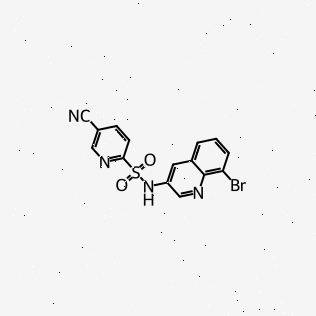 N#Cc1ccc(S(=O)(=O)Nc2cnc3c(Br)cccc3c2)nc1